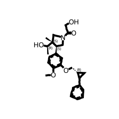 COc1ccc([C@@H]2CN(C(=O)CO)C[C@@]2(C)[C@@H](C)O)cc1OC[C@@H]1CC1c1ccccc1